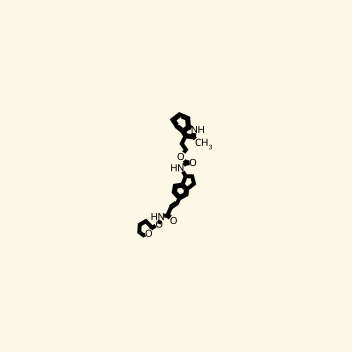 Cc1[nH]c2ccccc2c1CCOC(=O)NC1CCc2cc(/C=C/C(=O)NOC3CCCCO3)ccc21